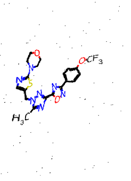 Cc1nc(-c2nc(-c3ccc(OC(F)(F)F)cc3)no2)nn1Cc1cnc(N2CCOCC2)s1